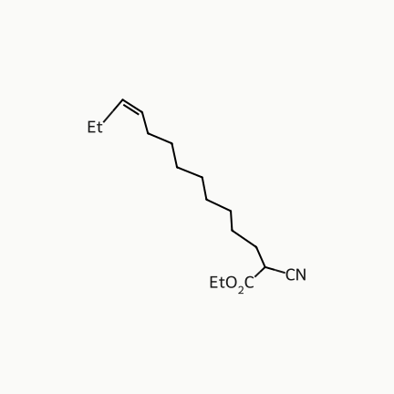 CC/C=C\CCCCCCCCC(C#N)C(=O)OCC